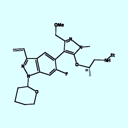 C=Cc1nn(C2CCCCO2)c2cc(F)c(-c3c(COC)nn(C)c3O[C@@H](C)CNCC)cc12